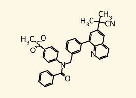 CC(C)(C#N)c1cc(-c2cccc(CN(C(=O)c3ccccc3)c3ccc(S(C)(=O)=O)cc3)c2)c2ncccc2c1